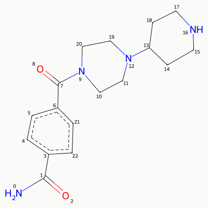 NC(=O)c1ccc(C(=O)N2CCN(C3CCNCC3)CC2)cc1